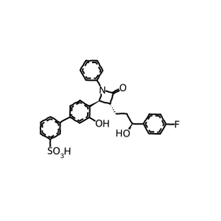 O=C1[C@H](CC[C@H](O)c2ccc(F)cc2)[C@@H](c2ccc(-c3cccc(S(=O)(=O)O)c3)cc2O)N1c1ccccc1